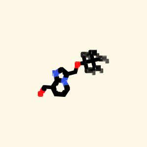 CC(C)(C)[Si](C)(C)OCc1cnc2c(C=O)cccn12